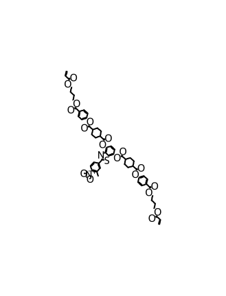 C=CC(=O)OCCCCOC(=O)c1ccc(OC(=O)C2CCC(C(=O)Oc3ccc(OC(=O)C4CCC(C(=O)Oc5ccc(C(=O)OCCCCOC(=O)C=C)cc5)CC4)c4sc(-c5ccc([N+](=O)[O-])c(C)c5)nc34)CC2)cc1